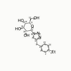 CCc1ccc(Cc2cn(C3O[C@H](CO)[C@@H](O)C(O)[C@H]3O)nn2)cc1